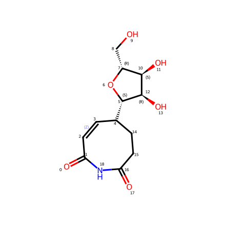 O=C1/C=C\C([C@@H]2O[C@H](CO)[C@@H](O)[C@H]2O)CCC(=O)N1